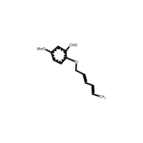 CC=CC=CCOc1ccc(OC)cc1C=O